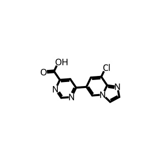 O=C(O)c1cc(-c2cc(Cl)c3nccn3c2)ncn1